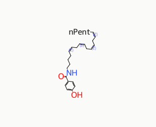 CCCCC/C=C\C/C=C\C/C=C\C/C=C\CCCCNC(=O)c1ccc(O)cc1